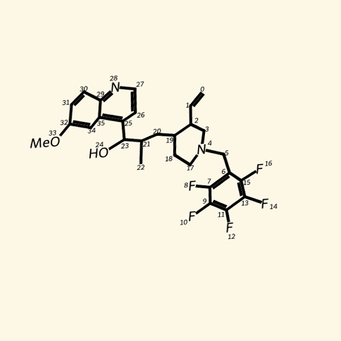 C=CC1CN(Cc2c(F)c(F)c(F)c(F)c2F)CCC1CC(C)C(O)c1ccnc2ccc(OC)cc12